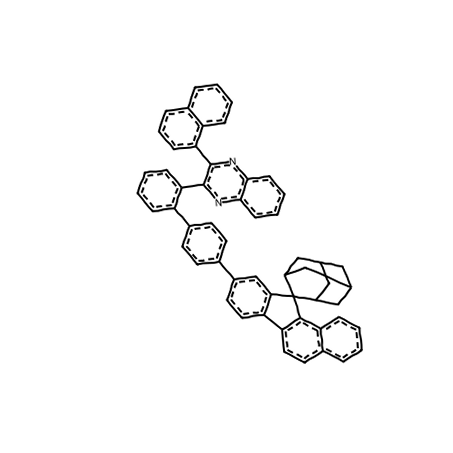 c1ccc(-c2nc3ccccc3nc2-c2cccc3ccccc23)c(-c2ccc(-c3ccc4c(c3)C3(c5c-4ccc4ccccc54)C4CC5CC(C4)CC3C5)cc2)c1